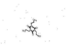 O=NCCn1c(=O)n(CCO)c(=O)n(CCO)c1=O